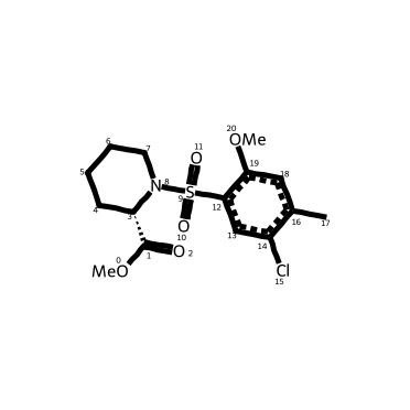 COC(=O)[C@@H]1CCCCN1S(=O)(=O)c1cc(Cl)c(C)cc1OC